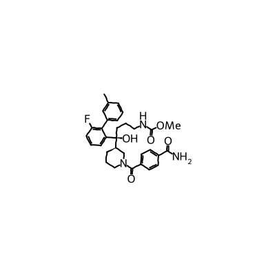 COC(=O)NCCC[C@@](O)(c1cccc(F)c1-c1cccc(C)c1)[C@@H]1CCCN(C(=O)c2ccc(C(N)=O)cc2)C1